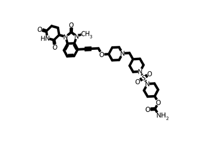 Cn1c(=O)n(C2CCC(=O)NC2=O)c2cccc(C#CCOC3CCN(CC4CCN(S(=O)(=O)N5CCC(OC(N)=O)CC5)CC4)CC3)c21